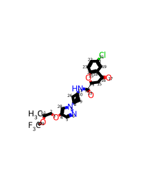 C[C@@H](COc1cnn(C23CC(NC(=O)[C@H]4CC(=O)c5cc(Cl)ccc5O4)(C2)C3)c1)OC(F)(F)F